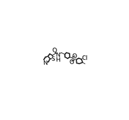 Cc1ccc(S(=O)(=O)c2ccc(CNC(=O)c3cc4ccncc4s3)cc2)cc1Cl